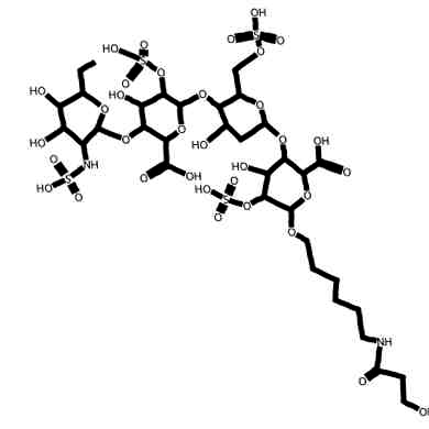 CCC1OC(OC2C(C(=O)O)OC(OC3C(O)CC(OC4C(C(=O)O)OC(OCCCCCCNC(=O)CCO)C(OS(=O)(=O)O)C4O)OC3COS(=O)(=O)O)C(OS(=O)(=O)O)C2O)C(NS(=O)(=O)O)C(O)C1O